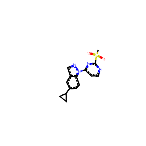 CS(=O)(=O)c1nccc(-n2ncc3cc(C4CC4)ccc32)n1